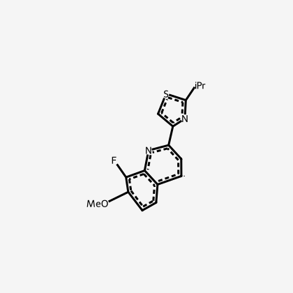 COc1ccc2[c]cc(-c3csc(C(C)C)n3)nc2c1F